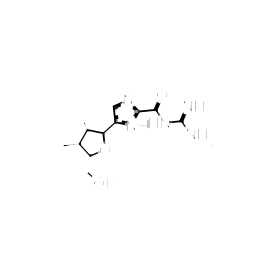 C[C@@H]1[C@@H](CO)OC(c2cnc(C(=O)NC(=N)N)[nH]2)[C@@H]1F